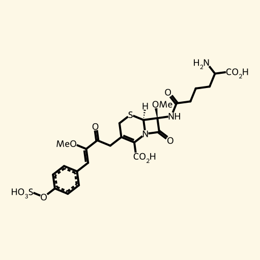 COC(=Cc1ccc(OS(=O)(=O)O)cc1)C(=O)CC1=C(C(=O)O)N2C(=O)[C@](NC(=O)CCCC(N)C(=O)O)(OC)[C@@H]2SC1